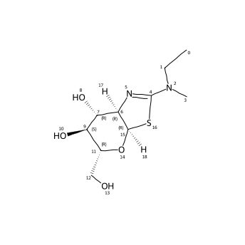 CCN(C)C1=N[C@@H]2[C@@H](O)[C@H](O)[C@@H](CO)O[C@@H]2S1